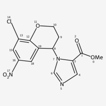 COC(=O)c1cncn1C1CCOc2c(Cl)cc([N+](=O)[O-])cc21